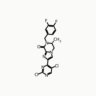 C[C@H]1Cn2cc(-c3nc(Cl)ncc3Cl)nc2C(=O)N1Cc1ccc(F)c(F)c1